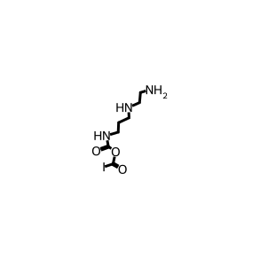 NCCNCCCNC(=O)OC(=O)I